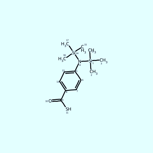 C[Si](C)(C)N(c1ccc(C(=O)S)cc1)[Si](C)(C)C